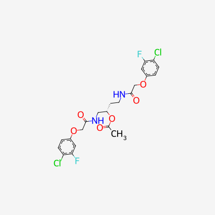 CC(=O)O[C@@H](CCNC(=O)COc1ccc(Cl)c(F)c1)CNC(=O)COc1ccc(Cl)c(F)c1